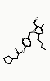 CCCCc1nc(I)c(C=O)n1Cc1ccc(OC(=O)CC2CCCC2)cc1